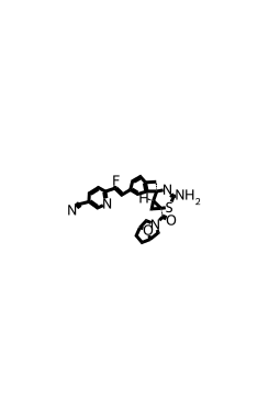 N#Cc1ccc(/C(F)=C/c2ccc3c(c2)[C@@]2(C3)N=C(N)S[C@@]3(C(=O)N4CC5CCC(C4)O5)C[C@H]32)nc1